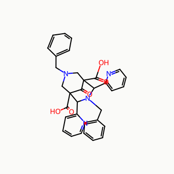 O=C(O)C12CN(Cc3ccccc3)CC(C(=O)O)(C1=O)C(c1ccccn1)N(Cc1ccccc1)C2c1ccccn1